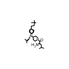 CC(C)=CCN(c1ccc(CCC(C)(C)C)cc1)C1CCN(C(=O)[C@@H](N)CC(C)C)CC1